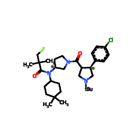 CC1(C)CCC(N(C(=O)C(C)(C)CF)[C@H]2CCN(C(=O)C3CN(C(C)(C)C)C[C@@H]3c3ccc(Cl)cc3)C2)CC1